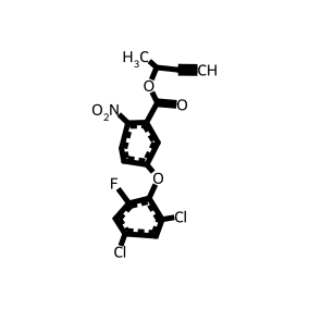 C#CC(C)OC(=O)c1cc(Oc2c(F)cc(Cl)cc2Cl)ccc1[N+](=O)[O-]